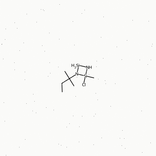 CCC(C)(C)N1[SiH2]N[Si]1(C)Cl